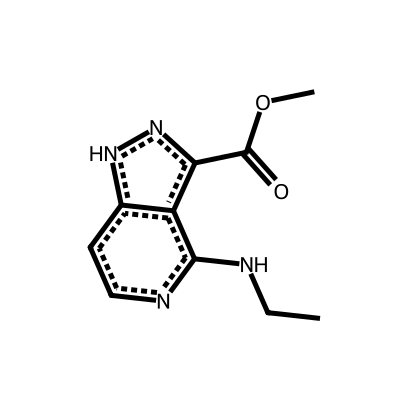 CCNc1nccc2[nH]nc(C(=O)OC)c12